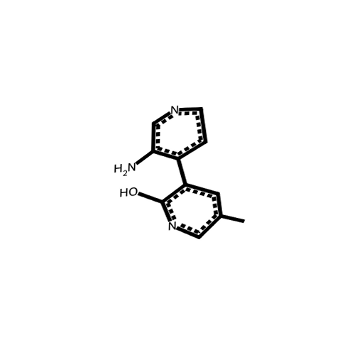 Cc1cnc(O)c(-c2ccncc2N)c1